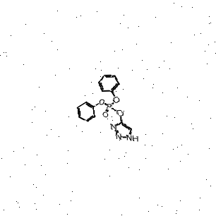 O=P(Oc1ccccc1)(Oc1ccccc1)Oc1c[nH]nn1